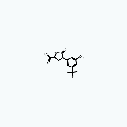 Cc1cc(C(F)(F)F)cc(N2CC(C(N)=O)NC2=O)n1